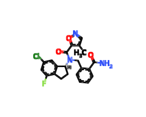 Cc1cnoc1C(=O)N(Cc1ccccc1C(N)=O)[C@@H]1CCc2c(F)cc(Cl)cc21